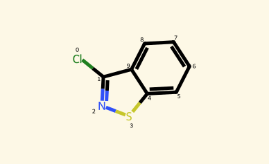 Clc1nsc2ccccc12